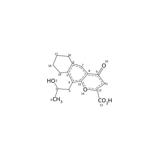 CC(O)Cc1c2c(cc3c(=O)cc(C(=O)O)oc13)CCCC2